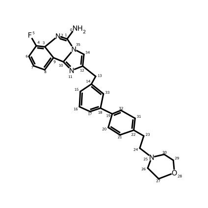 Nc1nc2c(F)cccc2c2nc(Cc3cccc(-c4ccc(CCN5CCOCC5)cc4)c3)cn12